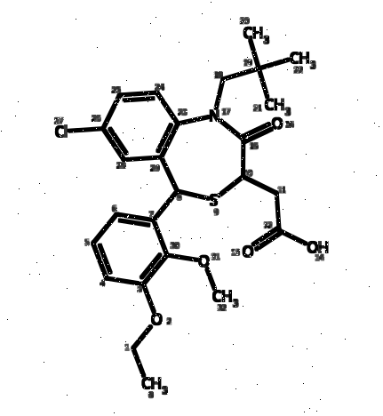 CCOc1cccc(C2SC(CC(=O)O)C(=O)N(CC(C)(C)C)c3ccc(Cl)cc32)c1OC